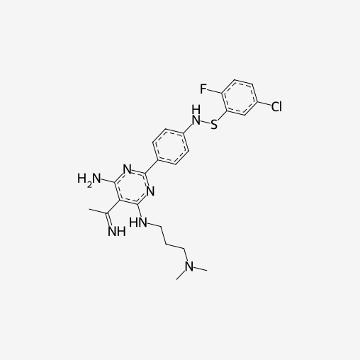 CC(=N)c1c(N)nc(-c2ccc(NSc3cc(Cl)ccc3F)cc2)nc1NCCCN(C)C